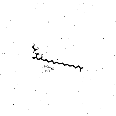 C=C(CC(=O)CCCCCCCCCCCCCCC(C)C)C(=O)OC(=O)C=O.[O]=[Ti]([OH])[OH]